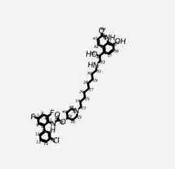 O=C(Nc1c(F)cc(F)cc1-c1cccc(Cl)c1)OC1CCN(CCCCCCCCCNC[C@@H](O)c2ccc(O)c3[nH]c(=O)ccc23)CC1